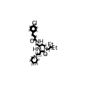 CCC(CC)CN1CCC(CNC(=O)/C=C/c2ccc(Cl)cc2)NC(CCN2CCCCC2)C1=O